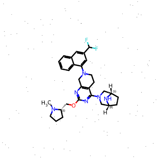 CN1CCC[C@H]1COc1nc2c(c(N3C[C@H]4CC[C@@H](C3)N4)n1)CCN(c1cc(C(F)F)cc3ccccc13)C2